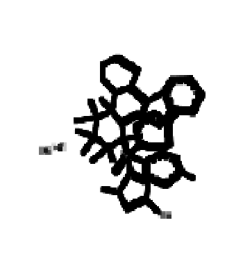 Cl.Cl.[CH2]=[Zr]([C]1=CC(C(C)(C)C)=CC1C)([c]1ccc(C)cc1)([c]1ccc(C)cc1)[C]1(C)C2=C3Cc4ccccc4C3=C3C=CCCC3C2(C)C(C)(C)C(C)(C)C1(C)C